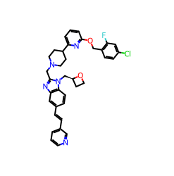 Fc1cc(Cl)ccc1COc1cccc(C2CCN(Cc3nc4cc(/C=C/c5cccnc5)ccc4n3C[C@@H]3CCO3)CC2)n1